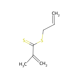 C=CCSC(=S)C(=C)C